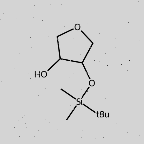 CC(C)(C)[Si](C)(C)OC1COCC1O